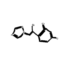 CCC(C)C(Cn1cncn1)c1ccc(Cl)cc1Cl